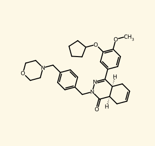 COc1ccc(C2=NN(Cc3ccc(CN4CCOCC4)cc3)C(=O)[C@@H]3CC=CC[C@H]23)cc1OC1CCCC1